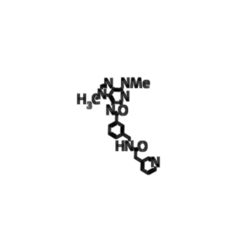 CNc1nc2oc(-c3cccc(CNC(=O)Cc4cccnc4)c3)nc2c2c1ncn2C